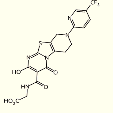 O=C(O)CNC(=O)c1c(O)nc2sc3c(n2c1=O)CCN(c1ccc(C(F)(F)F)cn1)C3